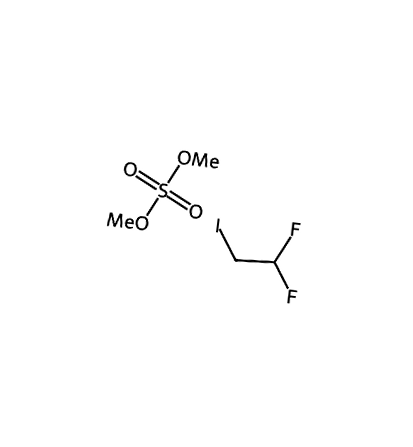 COS(=O)(=O)OC.FC(F)CI